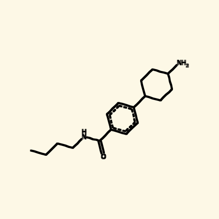 CCCCNC(=O)c1ccc(C2CCC(N)CC2)cc1